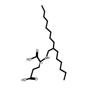 CCCCCCCCC(CCCCCC)CN[C@@H](CCC(=O)O)C(=O)O